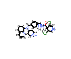 CC1(C(=O)NCc2ccc(CN(C3CCNCC3)C3CCCc4cccnc43)cc2)C(Cl)=CN=CC1Cl